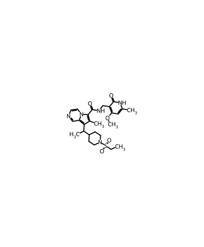 CCS(=O)(=O)N1CCC(C(C)c2c(C)c(C(=O)NCc3c(OC)cc(C)[nH]c3=O)n3ccncc23)CC1